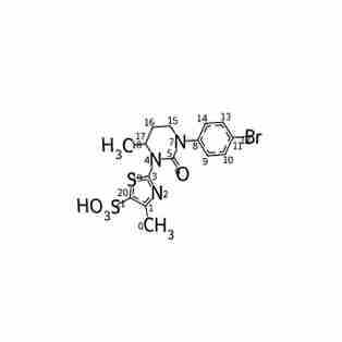 Cc1nc(N2C(=O)N(c3ccc(Br)cc3)CCC2C)sc1S(=O)(=O)O